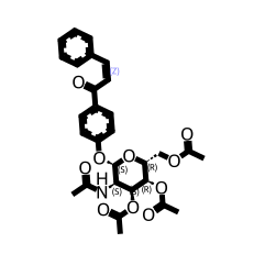 CC(=O)N[C@@H]1[C@H](Oc2ccc(C(=O)/C=C\c3ccccc3)cc2)O[C@H](COC(C)=O)[C@H](OC(C)=O)[C@H]1OC(C)=O